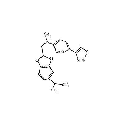 CC(C)c1ccc2c(c1)OC(CC(C)c1ccc(-c3csnn3)cc1)O2